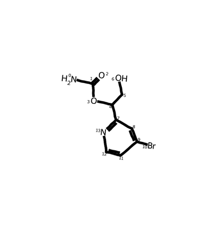 NC(=O)OC(CO)c1cc(Br)ccn1